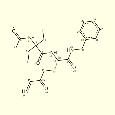 CCC(CC)(NC(C)=O)C(=O)N[C@@H](CCC(=O)C=N)C(=O)NCc1ccccc1